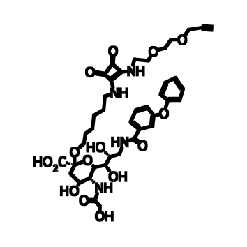 C#CCOCCOCCNc1c(NCCCCCCO[C@]2(C(=O)O)C[C@H](O)[C@@H](NC(=O)CO)[C@H]([C@H](O)[C@H](O)CNC(=O)c3cccc(Oc4ccccc4)c3)O2)c(=O)c1=O